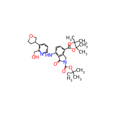 CC(C)(C)OC(=O)N1Cc2c(B3OC(C)(C)C(C)(C)O3)ccc(Nc3ccc(C4CCOC4)c(CO)n3)c2C1=O